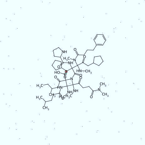 CCC(C)CC(=O)C1(C(=O)O)N(C(=O)C(NC(=O)C2CCCN2)(C(=O)C2CCCC2)C(NC)(C(=O)CC2CCCC2)N(C)C(=O)CCCc2ccccc2)C(NC)(C(=O)CCC(=O)N(C)C)C1(NC)NC(=O)CCC(C)C